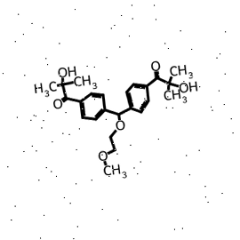 COCCOC(c1ccc(C(=O)C(C)(C)O)cc1)c1ccc(C(=O)C(C)(C)O)cc1